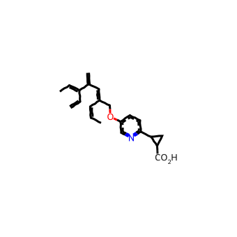 C=C/C(=C\C)C(=C)/C=C(\C=C/C)COc1ccc(C2CC2C(=O)O)nc1